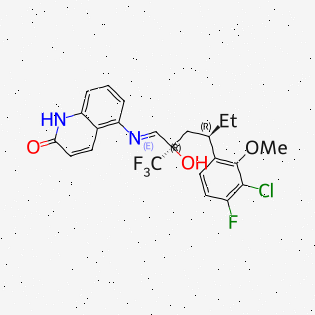 CC[C@H](C[C@@](O)(/C=N/c1cccc2[nH]c(=O)ccc12)C(F)(F)F)c1ccc(F)c(Cl)c1OC